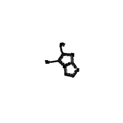 CC(C)c1nc2sccn2c1Br